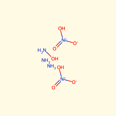 N.N.NO.O=[N+]([O-])O.O=[N+]([O-])O